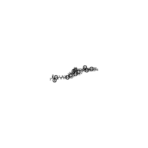 C=C(C)C(=O)OCCCCCCOc1ccc(C(=O)Oc2ccc(/C=C/C(=O)OCCOCCC)cc2OC)cc1